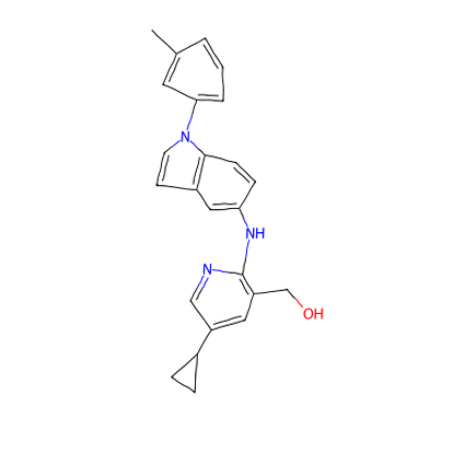 Cc1cccc(-n2ccc3cc(Nc4ncc(C5CC5)cc4CO)ccc32)c1